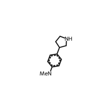 CNc1ccc(C2CCNC2)cc1